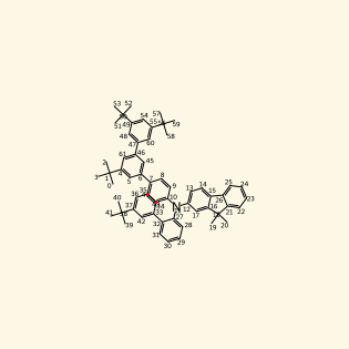 CC(C)(C)c1cc(-c2ccc(N(c3ccc4c(c3)C(C)(C)c3ccccc3-4)c3ccccc3-c3cccc(C(C)(C)C)c3)cc2)cc(-c2cc(C(C)(C)C)cc(C(C)(C)C)c2)c1